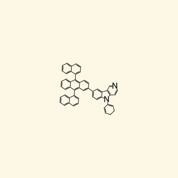 C1=CC(n2c3ccncc3c3cc(-c4ccc5c(-c6cccc7ccccc67)c6ccccc6c(-c6cccc7ccccc67)c5c4)ccc32)=CCC1